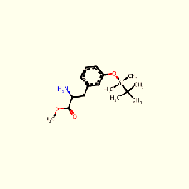 COC(=O)C(N)Cc1cccc(O[Si](C)(C)C(C)(C)C)c1